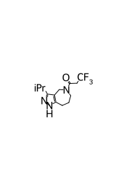 CC(C)c1n[nH]c2c1CN(C(=O)CC(F)(F)F)CCC2